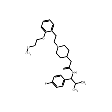 COCCOc1ccccc1CCN1CCC(CC(=O)NC(c2ccc(F)cc2)C(C)C)CC1